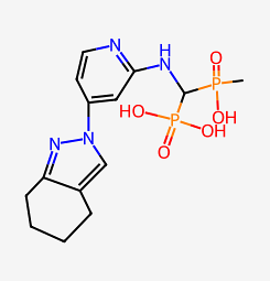 CP(=O)(O)C(Nc1cc(-n2cc3c(n2)CCCC3)ccn1)P(=O)(O)O